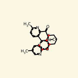 Cc1ccc(OC2CC3CCC2N(C(=O)c2nc(C)ccc2-c2ncccc2F)C3)nc1